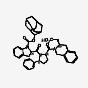 O=C(O)C[C@H]1Cc2ccccc2CN1C(=O)[C@H]1CC[C@@H](c2ccccc2)N1C(=O)[C@H]1Cc2ccccc2N1C(=O)OC1C2CC3CC(C2)CC1C3